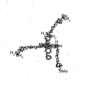 CSCSc1ncc(COCCOCCOCCN2C=C(COCC(COC/C(N)=C/N(N)CCOCCOCCOCc3cnc(SC[S+](C)C)nc3)(NC3CCCC(CC4CCCCCC4)CCC3)C(=O)NCC3C4CC/C(N)=C(/N(N)CCOCCOCCOCc5cnc(SC[S+](C)C)nc5)CCC43)NN2)cn1